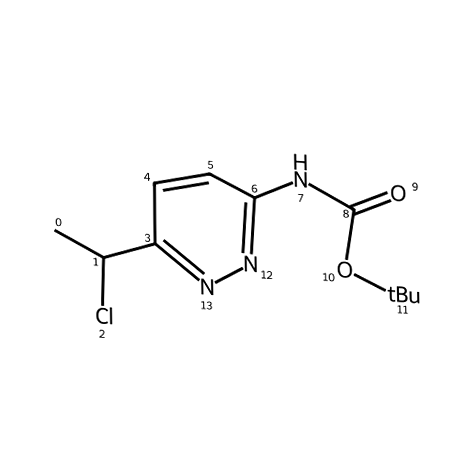 CC(Cl)c1ccc(NC(=O)OC(C)(C)C)nn1